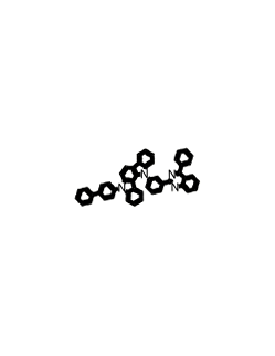 c1ccc(-c2ccc(-n3c4ccccc4c4c3ccc3c5ccccc5n(-c5cccc(-c6nc(-c7ccccc7)c7ccccc7n6)c5)c34)cc2)cc1